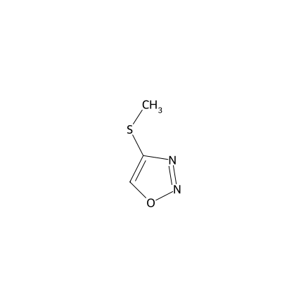 CSc1conn1